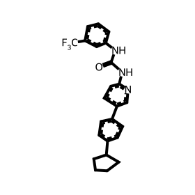 O=C(Nc1cccc(C(F)(F)F)c1)Nc1ccc(-c2ccc([C]3CCCC3)cc2)cn1